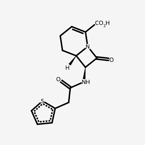 O=C(Cc1cccs1)N[C@@H]1C(=O)N2C(C(=O)O)=CCC[C@@H]12